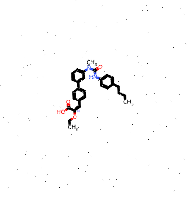 CCCCc1ccc(NC(=O)N(C)c2cccc(-c3ccc(/C=C(/OCC)C(=O)O)cc3)c2)cc1